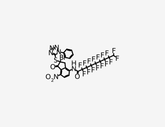 O=C1c2c([N+](=O)[O-])ccc(NC(=O)C(F)(F)C(F)(F)C(F)(F)C(F)(F)C(F)(F)C(F)(F)C(F)(F)C(F)F)c2CC1(Br)Sc1nnnn1-c1ccccc1